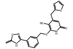 C=C1NC(c2cccc(CSc3[nH]c(=O)cc(Cc4cccs4)c3C#N)c2)=NO1